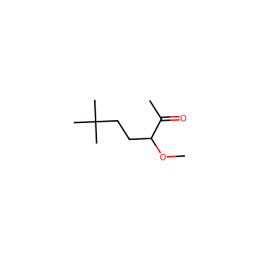 COC(CCC(C)(C)C)C(C)=O